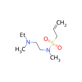 C=CCS(=O)(=O)N(C)CCN(C)CC